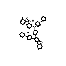 CC1(C)c2ccccc2-c2ccc(N(c3ccc(-c4ccccc4)cc3)c3ccc(-c4cc5sc6ccccc6c5cc4-c4ccc5c(c4)COc4ccccc4-5)cc3)cc21